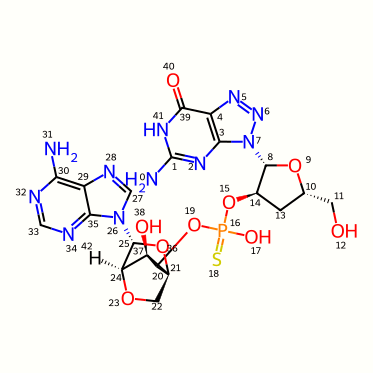 Nc1nc2c(nnn2[C@@H]2O[C@H](CO)C[C@H]2OP(O)(=S)OC2[C@@]34CO[C@@H]([C@H](n5cnc6c(N)ncnc65)O3)[C@@]24O)c(=O)[nH]1